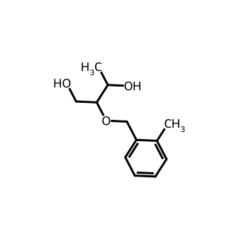 Cc1ccccc1COC(CO)C(C)O